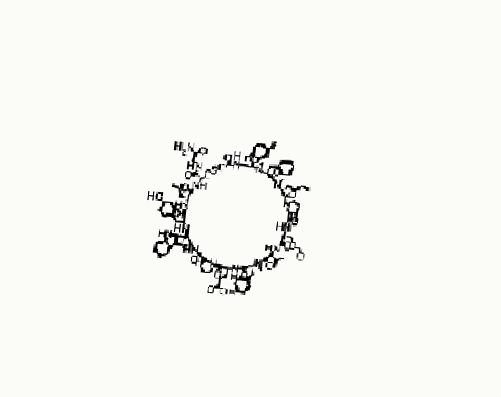 CCCC[C@H]1C(=O)N2CCC[C@@H]2C(=O)N[C@@H](COC=O)C(=O)N[C@@H](C(C)C)C(=O)N(C)[C@@H](Cc2ccccc2)C(=O)N[C@@H](CCC(=O)O)C(=O)N2CCC[C@@H]2C(=O)N[C@@H](Cc2c[nH]c3ccccc23)C(=O)N[C@@H](Cc2ccc(O)cc2)C(=O)N[C@@H](CC(C)C)C(=O)N[C@H](C(=O)NCC(N)=O)CSCC(=O)N[C@@H](Cc2ccc(F)cc2)C(=O)N(C)[C@@H](Cc2ccccc2)C(=O)N1C